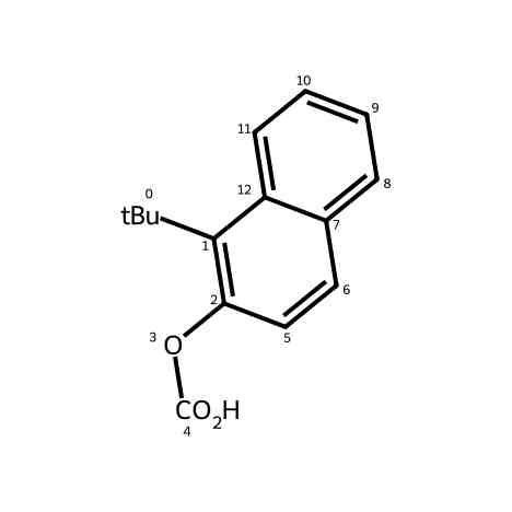 CC(C)(C)c1c(OC(=O)O)ccc2ccccc12